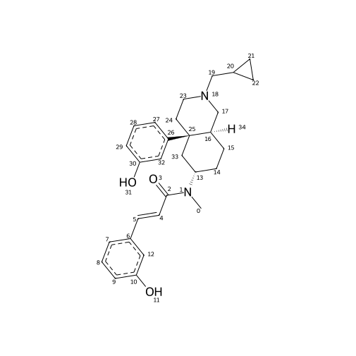 CN(C(=O)C=Cc1cccc(O)c1)[C@H]1CC[C@@H]2CN(CC3CC3)CC[C@@]2(c2cccc(O)c2)C1